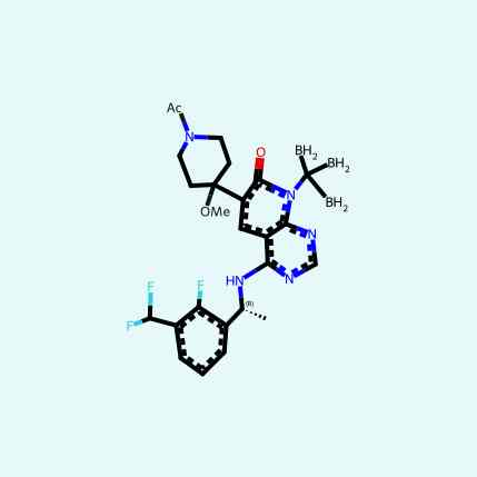 BC(B)(B)n1c(=O)c(C2(OC)CCN(C(C)=O)CC2)cc2c(N[C@H](C)c3cccc(C(F)F)c3F)ncnc21